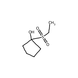 CCS(=O)(=O)C1(O)CCCC1